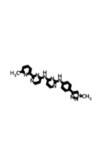 Cc1cccc(-c2nccc(Nc3ccnc(Nc4ccc(-c5cn(C)nn5)cc4)n3)n2)n1